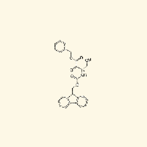 O=C(N[C@@H](CO)C(=O)C(=O)OCc1ccccc1)OCC1c2ccccc2-c2ccccc21